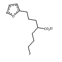 CCOC(=O)C(CCCF)CCCc1c[c]no1